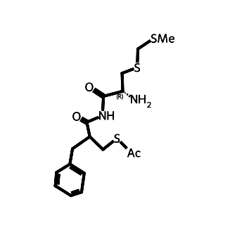 CSCSC[C@H](N)C(=O)NC(=O)C(CSC(C)=O)Cc1ccccc1